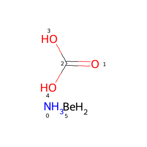 N.O=C(O)O.[BeH2]